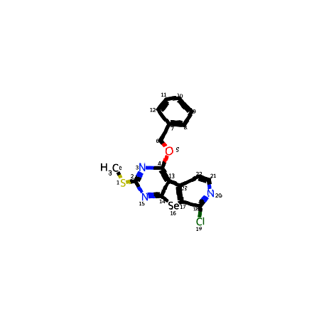 CSc1nc(OCc2ccccc2)c2c(n1)[se]c1c(Cl)nccc12